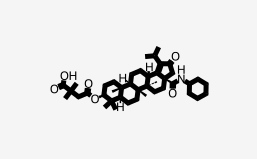 CC(C)C1=C2[C@H]3CC[C@@H]4[C@@]5(C)CC[C@H](OC(=O)CC(C)(C)C(=O)O)C(C)(C)[C@@H]5CC[C@@]4(C)[C@]3(C)CC[C@@]2(C(=O)NC2CCCCC2)CC1=O